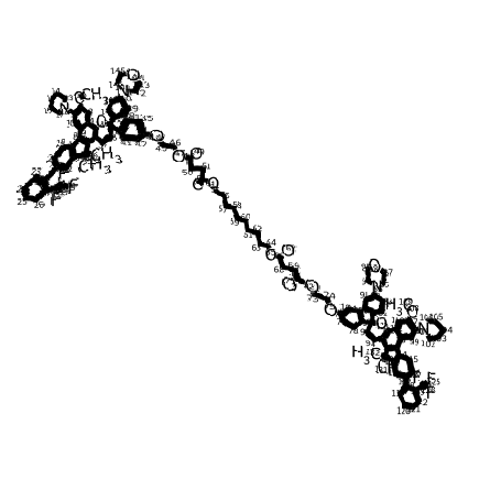 COc1cc2c3c(c4c(c2cc1N1CCCCC1)-c1ccc(-c2ccccc2C(F)(F)F)cc1C4(C)C)C=CC(c1ccc(OCCOC(=O)CCC(=O)OCCCCCCCCCCOC(=O)CCC(=O)OCCOc2ccc(C4(c5ccc(N6CCOCC6)cc5)C=Cc5c6c(c7cc(N8CCCCC8)c(OC)cc7c5O4)-c4ccc(-c5ccccc5C(F)(F)F)cc4C6(C)C)cc2)cc1)(c1ccc(N2CCOCC2)cc1)O3